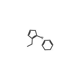 C1=CCCC=C1.CCC1=[C]([Ir])CC=C1